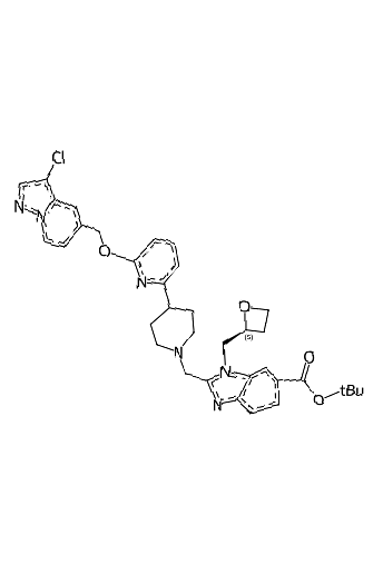 CC(C)(C)OC(=O)c1ccc2nc(CN3CCC(c4cccc(OCc5ccn6ncc(Cl)c6c5)n4)CC3)n(C[C@@H]3CCO3)c2c1